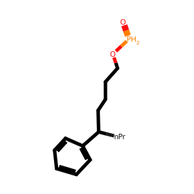 CCCC(CCCCO[PH2]=O)c1ccccc1